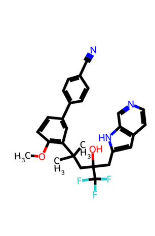 COc1ccc(-c2ccc(C#N)cc2)cc1C(C)(C)CC(O)(Cc1cc2ccncc2[nH]1)C(F)(F)F